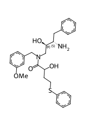 COc1cccc(CN(C[C@@H](O)[C@@H](N)Cc2ccccc2)C(=O)C(O)CCSc2ccccc2)c1